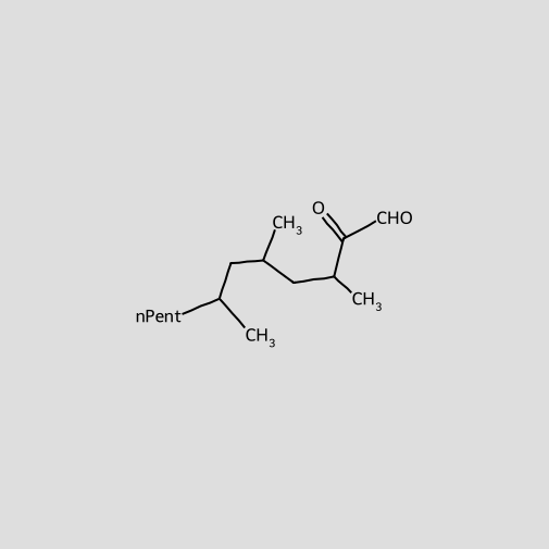 CCCCCC(C)CC(C)CC(C)C(=O)C=O